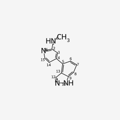 CNc1cc(-c2cccc3[nH]ncc23)ccn1